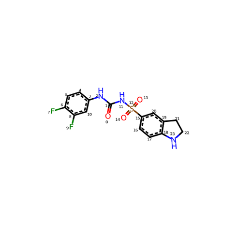 O=C(Nc1ccc(F)c(F)c1)NS(=O)(=O)c1ccc2c(c1)CCN2